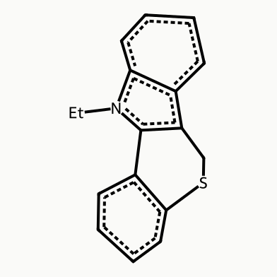 CCn1c2c(c3ccccc31)CSc1ccccc1-2